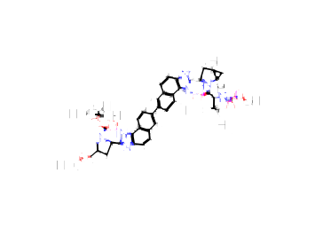 COCC1CC(c2nc3ccc4cc(-c5ccc6c(ccc7nc([C@@H]8C[C@H]9C[C@H]9N8C(=O)[C@@H](NC(=O)OC)C(C)C)[nH]c76)c5)ccc4c3[nH]2)N(C(=O)OC(C)(C)C)C1